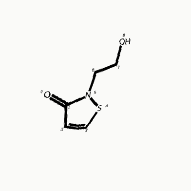 O=c1ccsn1CCO